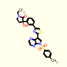 Cc1ccc(S(=O)(=O)n2cc(-c3nc(-c4cccc([C@]5(O)CCN(CC(F)(F)F)C5=O)c4)cs3)c3nccnc32)cc1